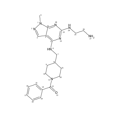 Cn1ncc2c(NCC3CCN(C(=O)c4ccccc4)CC3)nc(NCCN)nc21